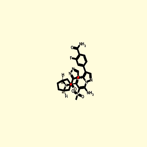 CS(=O)(=O)c1c([C@H]2C[C@H]3CC[C@@H](C2)N3C(=O)c2nnc[nH]2)nc2c(-c3ccc(C(N)=O)c(F)c3)cnn2c1N